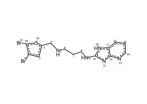 Brc1cc(CNCCCNc2nc3ncccc3[nH]2)sc1Br